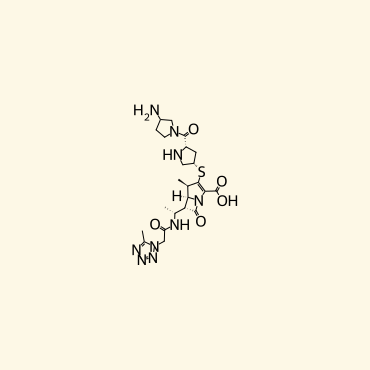 Cc1nnnn1CC(=O)N[C@H](C)[C@H]1C(=O)N2C(C(=O)O)=C(S[C@@H]3CN[C@H](C(=O)N4CCC(N)C4)C3)[C@H](C)[C@H]12